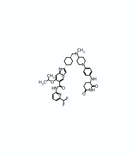 CC(C)Oc1cc2nc([C@H]3CC[C@H](CN(C)C4CCN(c5ccc(NC6CCC(=O)NC6=O)cc5)CC4)CC3)cn2cc1C(=O)Nc1cccc(C(F)F)n1